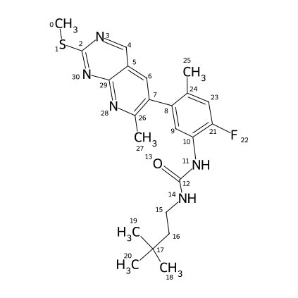 CSc1ncc2cc(-c3cc(NC(=O)NCCC(C)(C)C)c(F)cc3C)c(C)nc2n1